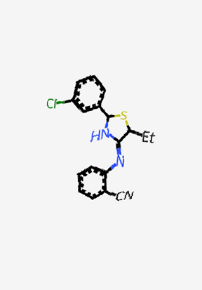 CCC1SC(c2cccc(Cl)c2)NC1=Nc1ccccc1C#N